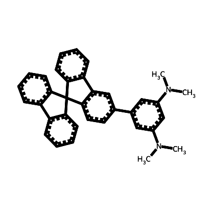 CN(C)c1cc(-c2ccc3c(c2)-c2ccccc2C32c3ccccc3-c3ccccc32)cc(N(C)C)c1